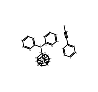 CC#Cc1ccccc1.c1ccc(P(c2ccccc2)[C]23[CH]4[CH]5[CH]6[CH]2[Fe]56432789[CH]3[CH]2[CH]7[CH]8[CH]39)cc1